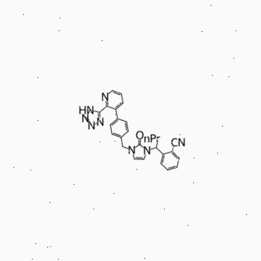 CCCC(c1ccccc1C#N)n1ccn(Cc2ccc(-c3cccnc3-c3nnn[nH]3)cc2)c1=O